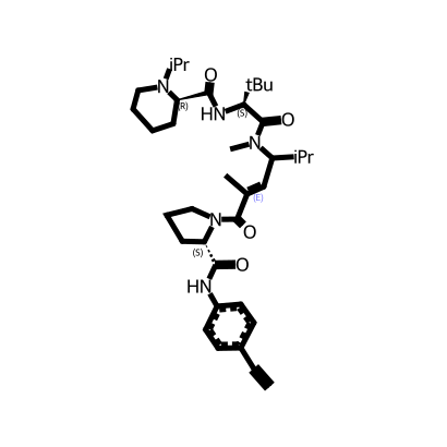 C#Cc1ccc(NC(=O)[C@@H]2CCCN2C(=O)/C(C)=C/C(C(C)C)N(C)C(=O)[C@@H](NC(=O)[C@H]2CCCCN2C(C)C)C(C)(C)C)cc1